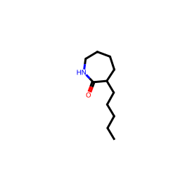 CCCCCC1CCCCNC1=O